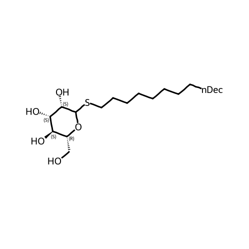 CCCCCCCCCCCCCCCCCCSC1O[C@H](CO)[C@@H](O)[C@H](O)[C@@H]1O